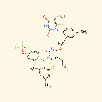 CCc1c(Sc2cc(C)cc(C)c2)[nH]c(=O)[nH]c1=O.CCc1c(Sc2cc(C)cc(C)c2)n(Cc2ccc(OC(F)(F)F)cc2)c(=O)[nH]c1=O